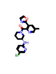 Cc1cnc(C(=O)N2CCC[C@@H](Nc3ccc(Br)cn3)C2)c(-c2ncco2)c1